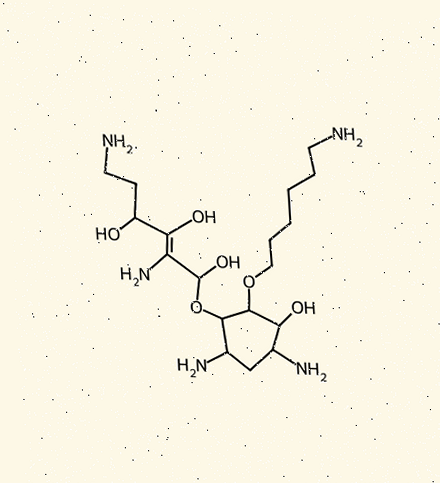 NCCCCCCOC1C(O)C(N)CC(N)C1OC(O)/C(N)=C(\O)C(O)CCN